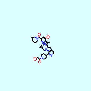 COCC(=O)N1CCC(c2nccc3cc(-c4nn5cc(C(=O)N6CCC[C@@H](C)C6)cc(OC)c5c4C)n(CC4CC4)c23)CC1